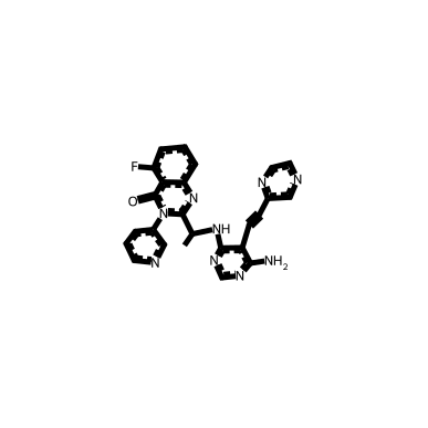 CC(Nc1ncnc(N)c1C#Cc1cnccn1)c1nc2cccc(F)c2c(=O)n1-c1cccnc1